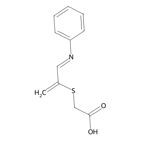 C=C(/C=N/c1ccccc1)SCC(=O)O